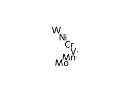 [Cr].[Mn].[Mo].[Ni].[V].[W]